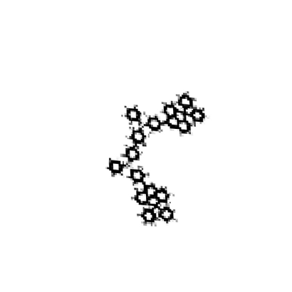 c1ccc(N(c2ccc(-c3ccc(N(c4ccccc4)c4ccc(-c5cc6cccc7c6c6c(cccc56)C7(c5ccccc5)c5ccccc5)cc4)cc3)cc2)c2ccc(-c3cc4cccc5c4c4c(cccc34)C5(c3ccccc3)c3ccccc3)cc2)cc1